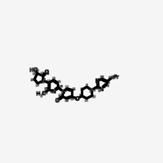 CCCc1cnc(N2CCC(Oc3ccn(-c4ccc(N5CCC(O)C5=O)c(C)n4)c(=O)c3)CC2)nc1